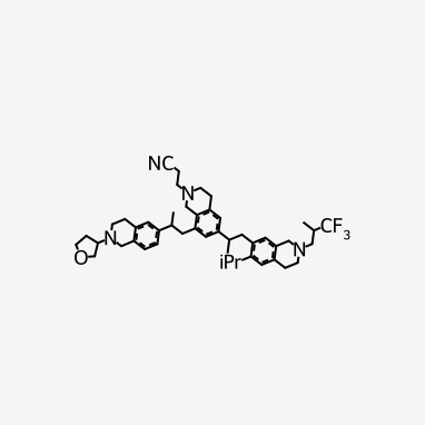 CC(C)c1cc2c(cc1CC(C)c1cc3c(c(CC(C)c4ccc5c(c4)CCN(C4CCOC4)C5)c1)CN(CCC#N)CC3)CN(CC(C)C(F)(F)F)CC2